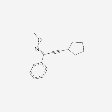 CON=C(C#CC1CCCC1)c1ccccc1